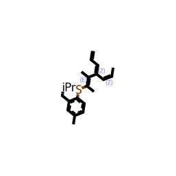 C=C/C=C(/C=C\C)C(\C)=C(/C)Sc1ccc(C)cc1CC(C)C